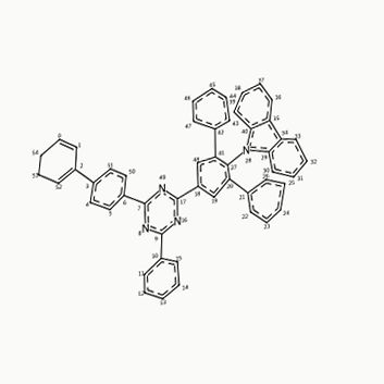 C1=CC(c2ccc(-c3nc(-c4ccccc4)nc(-c4cc(-c5ccccc5)c(-n5c6ccccc6c6ccccc65)c(-c5ccccc5)c4)n3)cc2)=CCC1